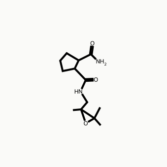 CC1(C)OC1(C)CNC(=O)C1CCCC1C(N)=O